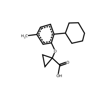 Cc1ccc(C2CCCCC2)c(OC2(C(=O)O)CC2)c1